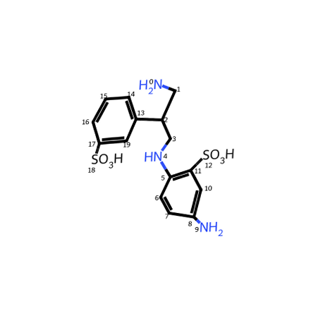 NCC(CNc1ccc(N)cc1S(=O)(=O)O)c1cccc(S(=O)(=O)O)c1